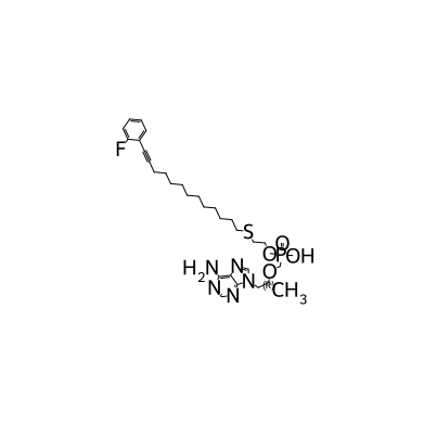 C[C@H](Cn1cnc2c(N)ncnc21)OCP(=O)(O)OCCSCCCCCCCCCCCC#Cc1ccccc1F